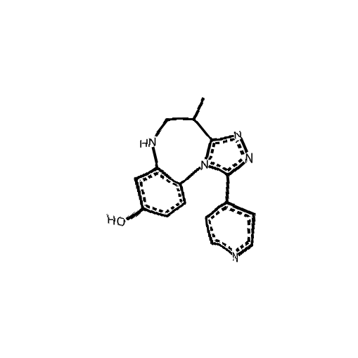 CC1CNc2cc(O)ccc2-n2c(-c3ccncc3)nnc21